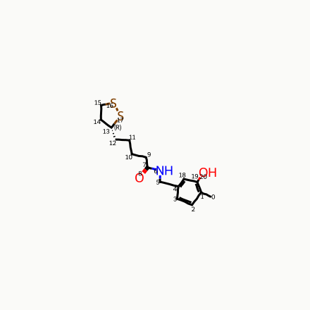 Cc1ccc(CNC(=O)CCCC[C@@H]2CCSS2)cc1O